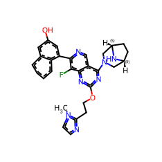 Cn1ccnc1CCOc1nc(N2C[C@H]3CC[C@@H](C2)N3)c2cnc(-c3cc(O)cc4ccccc34)c(F)c2n1